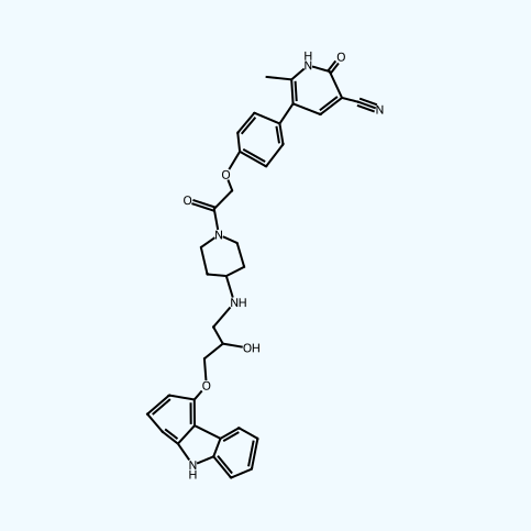 Cc1[nH]c(=O)c(C#N)cc1-c1ccc(OCC(=O)N2CCC(NCC(O)COc3cccc4[nH]c5ccccc5c34)CC2)cc1